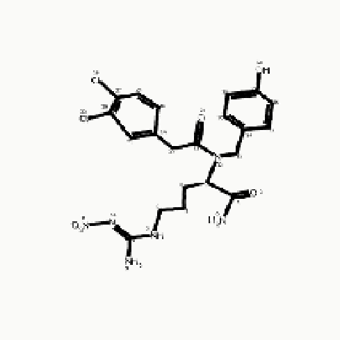 NC(=O)[C@@H](CCCNC(N)=N[N+](=O)[O-])N(Cc1ccc(O)cc1)C(=O)Cc1ccc(Cl)c(Cl)c1